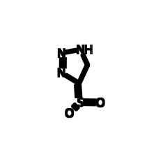 O=S(=O)=C1CNN=N1